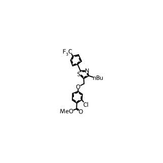 CCCCc1nc(-c2ccc(C(F)(F)F)cc2)sc1COc1ccc(C(=O)OC)c(Cl)c1